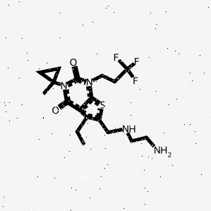 CCc1c(CNCCN)sc2c1c(=O)n(C1(C)CC1)c(=O)n2CCC(F)(F)F